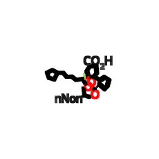 CCCCCCCCC[C@H]1CO[C@H](c2ccccc2C2(OCCCCCCC3CCCC3)C=CC(C(=O)O)C=C2F)OC1